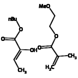 C=C(C)C(=O)OCCOC.CC=C(O)C(=O)OCCCC